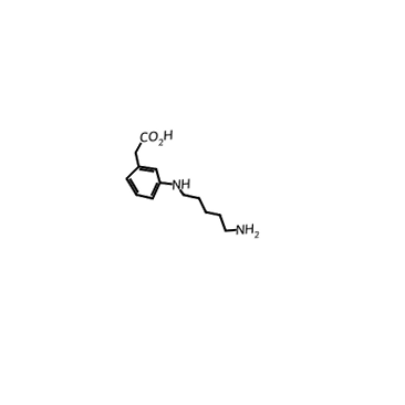 NCCCCCNc1cccc(CC(=O)O)c1